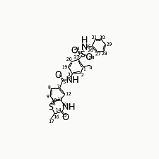 Cc1cc(NC(=O)c2ccc3c(c2)NC(=O)C(C)S3)ccc1S(=O)(=O)Nc1ccccc1